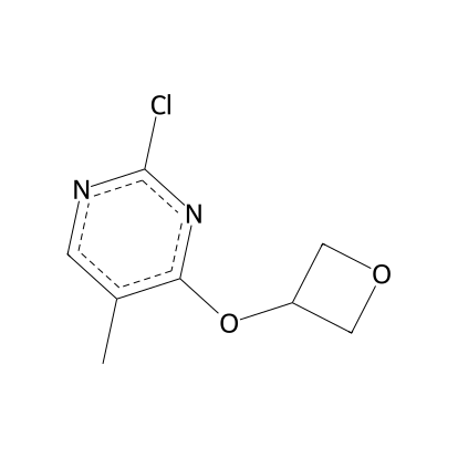 Cc1cnc(Cl)nc1OC1COC1